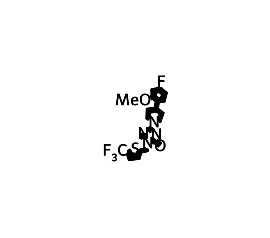 COc1cc(F)ccc1C1=CCN(c2ncn(Cc3ccc(C(F)(F)F)s3)c(=O)n2)CC1